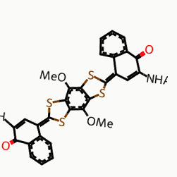 COc1c2c(c(OC)c3c1SC(=C1C=C(NC(C)=O)C(=O)c4ccccc41)S3)SC(=C1C=C(NC(C)=O)C(=O)c3ccccc31)S2